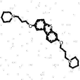 c1cc2c(cc1OCCCN1CCCCC1)sc1ccc(OCCCN3CCCCC3)cc12